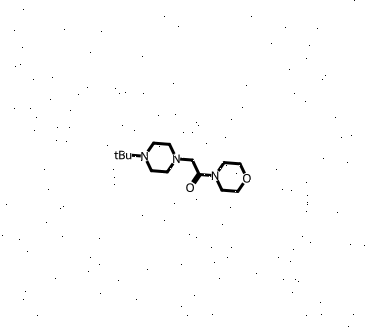 CC(C)(C)N1CCN(CC(=O)N2CCOCC2)CC1